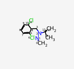 C=NN(CC1C(Cl)=CC=CC1Cl)C(=C)C